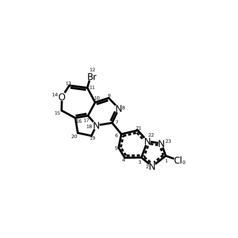 Clc1nc2ccc(C3=NC=C4C(Br)=COCC5=C4N3CC5)cn2n1